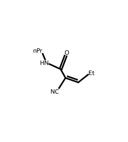 CC/C=C(/C#N)C(=O)NCCC